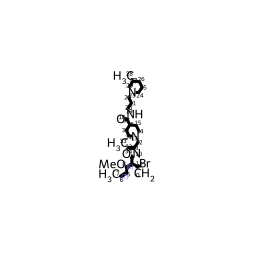 C=C(Br)/C(=C(\C=C/C)OC)c1nc(CN2CCC(C(=O)NCCCN3CCC[C@H](C)C3)CC2)c(C)o1